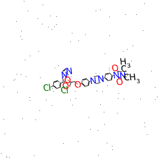 CC1C(=O)N(c2ccc(N3CCN(c4ccc(OCC5COC(Cn6ccnc6)(c6ccc(Cl)cc6Cl)O5)cc4)CC3)cc2)C(=O)N1C